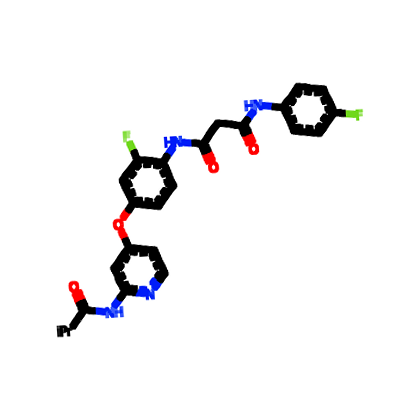 CC(C)C(=O)Nc1cc(Oc2ccc(NC(=O)CC(=O)Nc3ccc(F)cc3)c(F)c2)ccn1